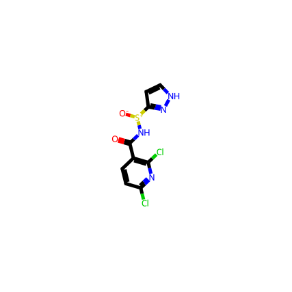 O=C(N[S+]([O-])c1cc[nH]n1)c1ccc(Cl)nc1Cl